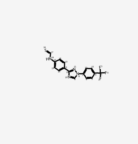 FC(F)(F)c1ccc(-n2cnc(-c3ccc(NC=S)cc3)n2)cc1